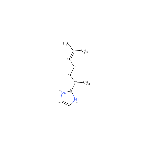 CC(C)=CCCC(C)c1ncc[nH]1